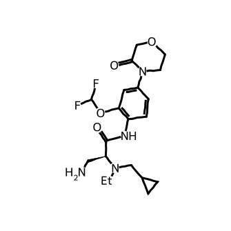 CCN(CC1CC1)[C@@H](CN)C(=O)Nc1ccc(N2CCOCC2=O)cc1OC(F)F